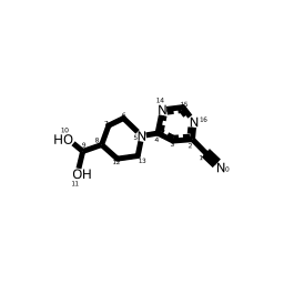 N#Cc1cc(N2CCC(C(O)O)CC2)ncn1